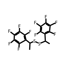 CC(SSC(C)c1c(F)c(F)c(F)c(F)c1F)c1c(F)c(F)c(F)c(F)c1F